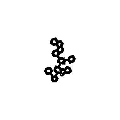 c1ccc(-c2nc(-c3cccc4c3ccc3ccc5ccccc5c34)nc(-c3ccc(-c4ccccc4-c4ccccc4)c4oc5ccccc5c34)n2)cc1